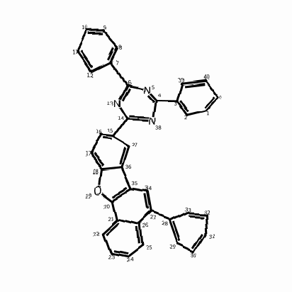 c1ccc(-c2nc(-c3ccccc3)nc(-c3ccc4oc5c6ccccc6c(-c6ccccc6)cc5c4c3)n2)cc1